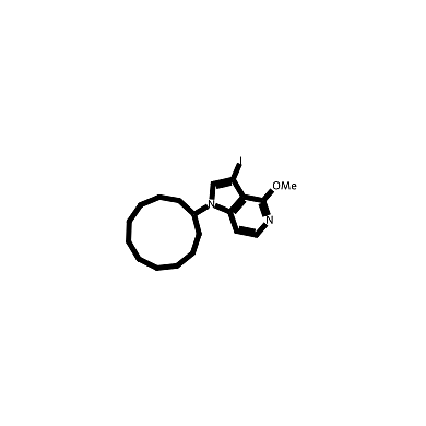 COc1nccc2c1c(I)cn2C1CCCCCCCCCC1